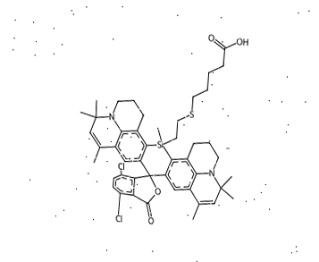 CC1=CC(C)(C)N2CCCc3c2c1cc1c3[Si](C)(CCSCCCCC(=O)O)c2c(cc3c4c2CCCN4C(C)(C)C=C3C)C12OC(=O)c1c(Cl)ccc(Cl)c12